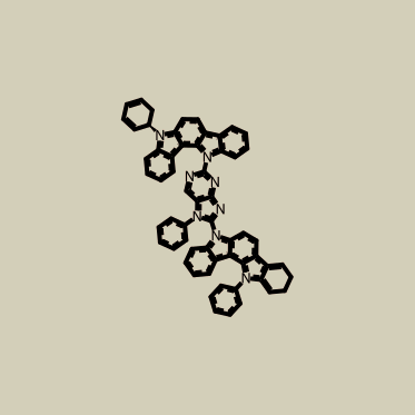 C1=CC[C@@H](n2c3ccccc3c3c4c(ccc32)c2ccccc2n4-c2ncc3c(n2)nc(-n2c4ccccc4c4c5c(ccc42)c2c(n5-c4ccccc4)=CCCC=2)n3-c2ccccc2)C=C1